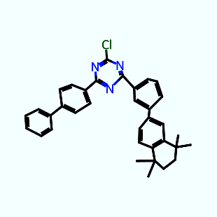 CC1(C)CCC(C)(C)c2cc(-c3cccc(-c4nc(Cl)nc(-c5ccc(-c6ccccc6)cc5)n4)c3)ccc21